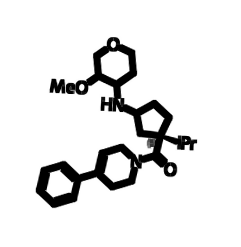 COC1COCCC1NC1CC[C@@](C(=O)N2CC=C(c3ccccc3)CC2)(C(C)C)C1